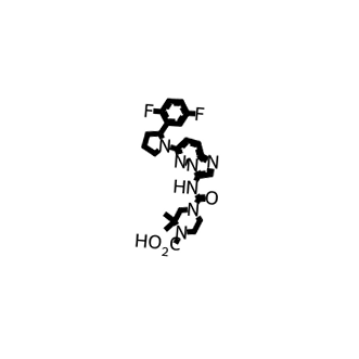 CC1(C)CN(C(=O)Nc2cnc3ccc(N4CCCC4c4cc(F)ccc4F)nn23)CCN1C(=O)O